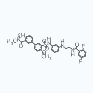 COc1ccc(-c2cccc(C(=O)N(C)C)c2)cc1S(=O)(=O)Nc1cccc(NCCNC(=O)c2cc(F)ccc2F)c1